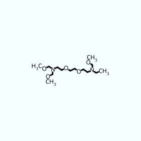 CCN(CCOCCOCCN(COC)COC)COC